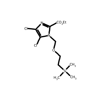 CCOC(=O)c1nc(Cl)c(Cl)n1COCC[Si](C)(C)C